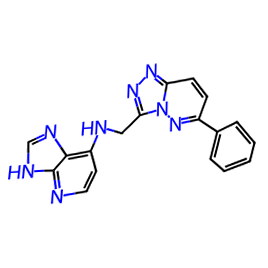 c1ccc(-c2ccc3nnc(CNc4ccnc5[nH]cnc45)n3n2)cc1